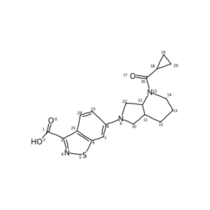 O=C(O)c1nsc2cc(N3CC4CCCN(C(=O)C5CC5)C4C3)ccc12